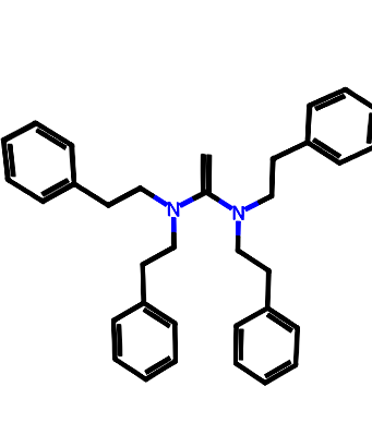 C=C(N(CCc1ccccc1)CCc1ccccc1)N(CCc1ccccc1)CCc1ccccc1